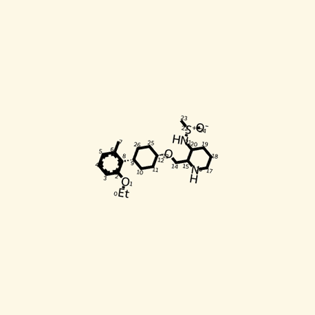 CCOc1cccc(C)c1[C@H]1CC[C@@H](OCC2NCCCC2N[S+](C)[O-])CC1